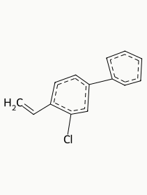 C=Cc1ccc(-c2ccccc2)cc1Cl